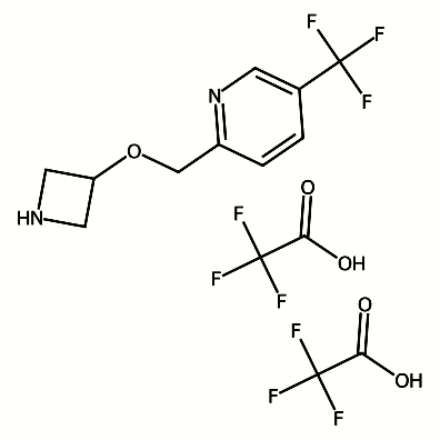 FC(F)(F)c1ccc(COC2CNC2)nc1.O=C(O)C(F)(F)F.O=C(O)C(F)(F)F